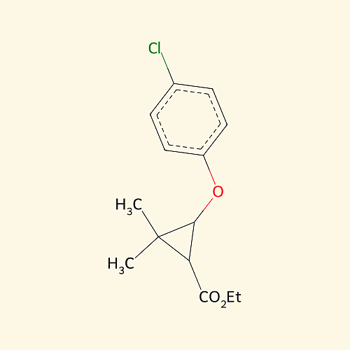 CCOC(=O)C1C(Oc2ccc(Cl)cc2)C1(C)C